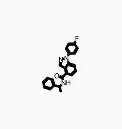 CC(NC(=O)c1cccc2c1cnn2-c1ccc(F)cc1)c1ccccc1